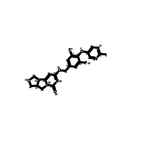 Cc1ncc(Oc2c(F)cc(COc3cc4n(c(=O)n3)CC3COCN43)cc2F)cn1